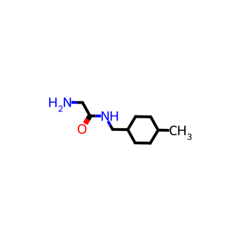 CC1CCC(CNC(=O)CN)CC1